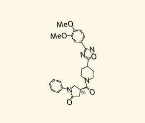 COc1ccc(-c2noc(C3CCN(C(=O)[C@H]4CC(=O)N(c5ccccc5)C4)CC3)n2)cc1OC